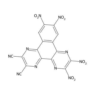 N#Cc1nc2c3cc([N+](=O)[O-])c([N+](=O)[O-])cc3c3nc([N+](=O)[O-])c([N+](=O)[O-])nc3c2nc1C#N